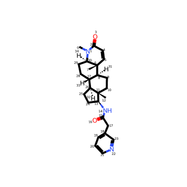 CN1C(=O)C=C[C@]2(C)[C@H]3CC[C@]4(C)[C@@H](NC(=O)Cc5cccnc5)CC[C@H]4[C@@H]3CC[C@@H]12